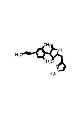 CC#Cc1cc(C)c(C2C(=O)NC(Cc3ccn(C)n3)C2=O)c(C)c1